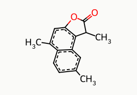 Cc1ccc2c(C)cc3c(c2c1)C(C)C(=O)O3